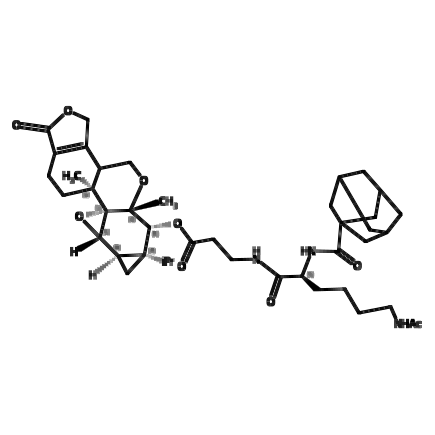 CC(=O)NCCCC[C@H](NC(=O)C12CC3CC(CC(C3)C1)C2)C(=O)NCCC(=O)O[C@@H]1[C@@]2(C(C)C)C[C@H]2[C@@H]2O[C@@]23[C@@]2(C)CCC4=C(COC4=O)C2CO[C@]13C